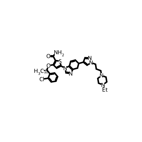 CCN1CCN(CCCn2cc(C3C=Cc4c(ncn4-c4cc(O[C@H](C)c5ccccc5Cl)c(C(N)=O)s4)C3)cn2)CC1